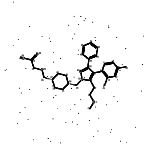 COCCc1c(-c2ccc(C)cc2F)c(-c2ccccc2)nn1C[C@H]1CC[C@@H](COCC(=O)O)CC1